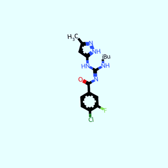 CCC(C)N/C(=N/C(=O)c1ccc(Cl)c(F)c1)Nc1cc(C)n[nH]1